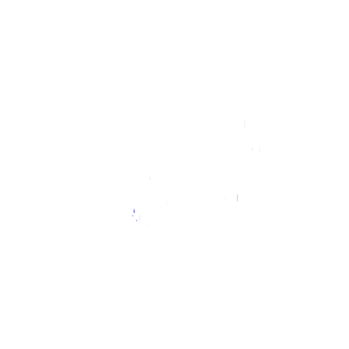 CC(C)CCCC(C)CCOC(=O)[C@@H](N)Cc1ccccc1